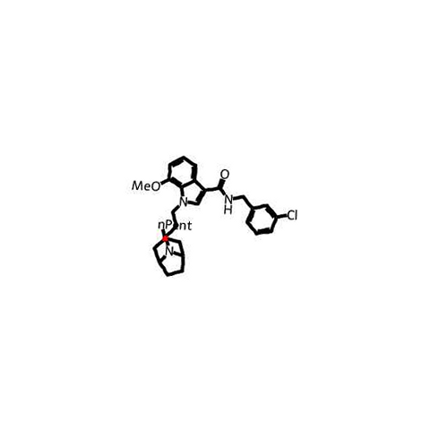 CCCCCC1CC2CCC(C1)N2CCCn1cc(C(=O)NCc2cccc(Cl)c2)c2cccc(OC)c21